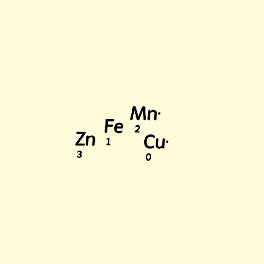 [Cu].[Fe].[Mn].[Zn]